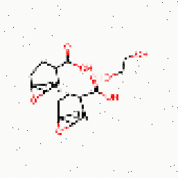 CC12CCC(C(=O)O)CC1O2.CC12CCC(C(=O)O)CC1O2.OCCO